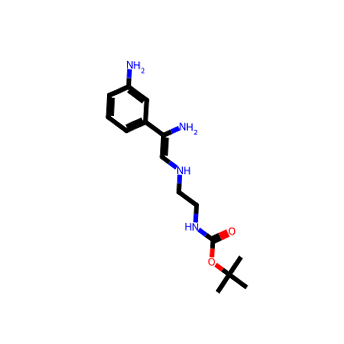 CC(C)(C)OC(=O)NCCN/C=C(\N)c1cccc(N)c1